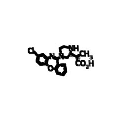 C[C@@H](C(=O)O)[C@H]1CN(C2=Nc3cc(Cl)ccc3Oc3ccccc32)CCN1